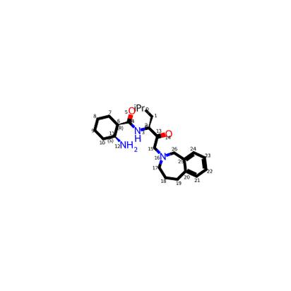 CC(C)C[C@H](NC(=O)[C@@H]1CCCC[C@@H]1N)C(=O)CN1CCCc2ccccc2C1